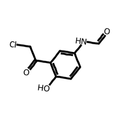 O=CNc1ccc(O)c(C(=O)CCl)c1